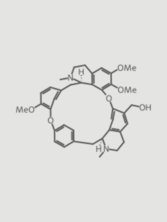 COc1ccc2cc1Oc1ccc(cc1)C[C@H]1c3cc(c(CO)cc3CCN1C)Oc1c(OC)c(OC)cc3c1[C@@H](C2)N(C)CC3